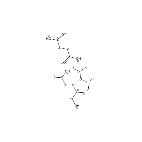 CC(C)OC(C)C.CC(O)COC(C)CO.O=C(O)CCC(=O)O